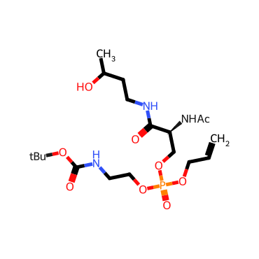 C=CCOP(=O)(OCCNC(=O)OC(C)(C)C)OC[C@H](NC(C)=O)C(=O)NCCC(C)O